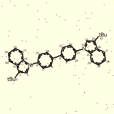 CC(C)(C)c1cn(-c2ccc(-c3ccc(-n4cc(C(C)(C)C)c5ccccc54)cc3)cc2)c2ccccc12